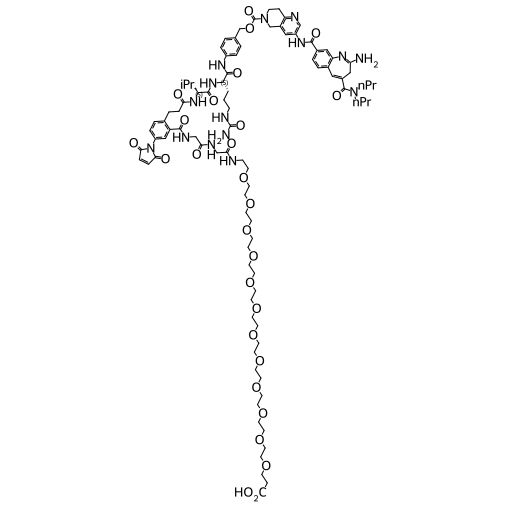 CCCN(CCC)C(=O)C1=Cc2ccc(C(=O)Nc3cnc4c(c3)CN(C(=O)OCc3ccc(NC(=O)[C@H](CCCNC(N)=O)NC(=O)[C@@H](NC(=O)CCc5ccc(N6C(=O)C=CC6=O)cc5C(=O)NCC(=O)NCC(=O)NCCOCCOCCOCCOCCOCCOCCOCCOCCOCCOCCOCCOCCC(=O)O)C(C)C)cc3)CC4)cc2N=C(N)C1